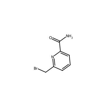 NC(=O)c1cccc(CBr)n1